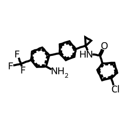 Nc1cc(C(F)(F)F)ccc1-c1ccc(C2(NC(=O)c3ccc(Cl)cc3)CC2)cc1